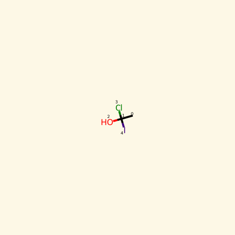 CC(O)(Cl)I